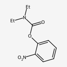 CCN(CC)C(=O)Oc1ccccc1[N+](=O)[O-]